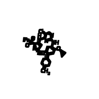 CC(C)S(=O)(=O)c1nn(C)cc1Nc1nc(Nc2cc(C#N)c(C3CCN(C)CC3)cc2OC2CC2)ncc1Cl